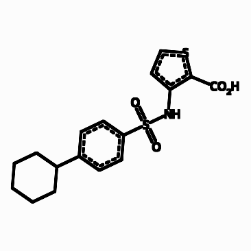 O=C(O)c1sccc1NS(=O)(=O)c1ccc(C2CCCCC2)cc1